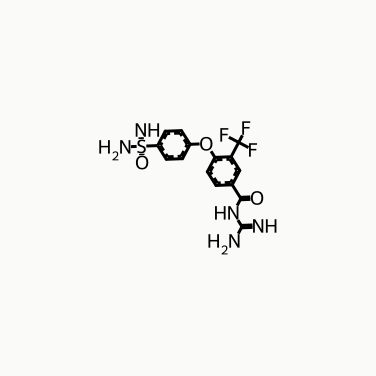 N=C(N)NC(=O)c1ccc(Oc2ccc(S(=N)(N)=O)cc2)c(C(F)(F)F)c1